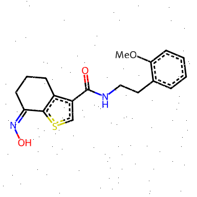 COc1ccccc1CCNC(=O)c1csc2c1CCC/C2=N/O